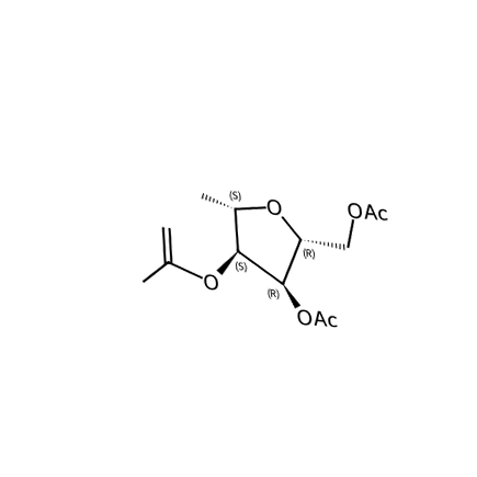 C=C(C)O[C@@H]1[C@H](OC(C)=O)[C@@H](COC(C)=O)O[C@H]1C